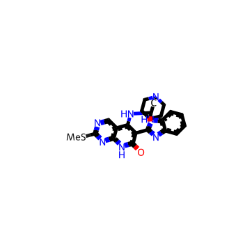 CSc1ncc2c(NC3CN4CCC3CC4)c(-c3nc4ccccc4[nH]3)c(=O)[nH]c2n1